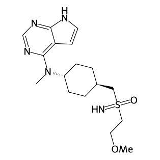 COCCS(=N)(=O)C[C@H]1CC[C@H](N(C)c2ncnc3[nH]ccc23)CC1